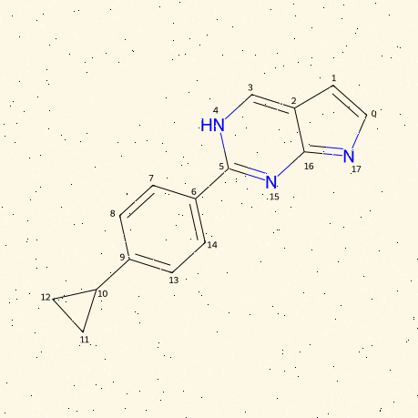 c1cc2c[nH]c(-c3ccc(C4CC4)cc3)nc-2n1